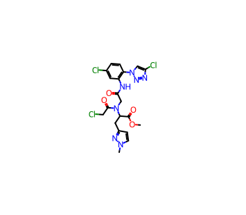 COC(=O)C(Cc1ccn(C)n1)N(CC(=O)Nc1cc(Cl)ccc1-n1cc(Cl)nn1)C(=O)CCl